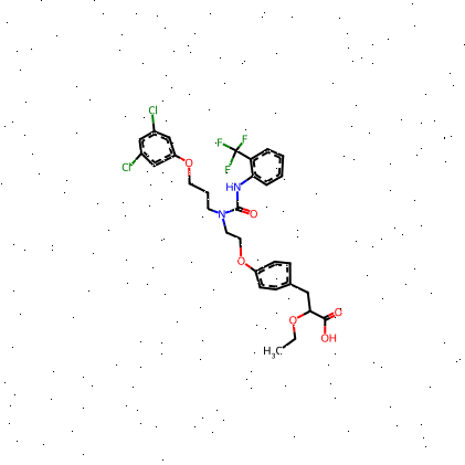 CCOC(Cc1ccc(OCCN(CCCOc2cc(Cl)cc(Cl)c2)C(=O)Nc2ccccc2C(F)(F)F)cc1)C(=O)O